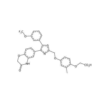 Cc1cc(OCc2nc(-c3ccc4c(c3)NC(=O)CO4)c(-c3cccc(OC(F)(F)F)c3)s2)ccc1OCC(=O)O